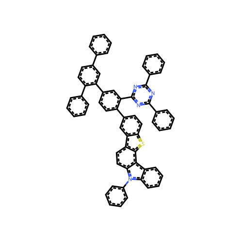 c1ccc(-c2ccc(-c3ccccc3)c(-c3ccc(-c4ccc5sc6c(ccc7c6c6ccccc6n7-c6ccccc6)c5c4)c(-c4nc(-c5ccccc5)nc(-c5ccccc5)n4)c3)c2)cc1